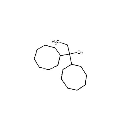 [CH2]CC(O)(C1CCCCCCC1)C1CCCCCCC1